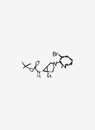 CC(C)(C)OC(=O)N[C@@H]1C2CN(c3ncccc3Br)C[C@@H]21